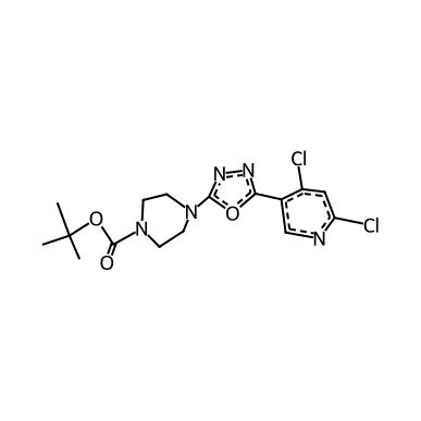 CC(C)(C)OC(=O)N1CCN(c2nnc(-c3cnc(Cl)cc3Cl)o2)CC1